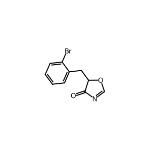 O=C1N=COC1Cc1ccccc1Br